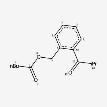 CCCCC(=O)OCc1ccccc1C(=O)C(C)C